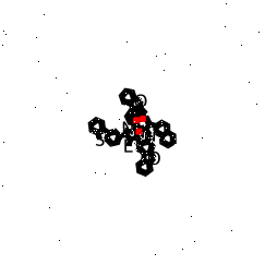 CCC1C(c2ccc3sc4ccccc4c3c2)=NC(c2ccc3oc4ccccc4c3c2)=NC1c1cc2c(cc1-n1c3cc4ccccc4cc3c3ccc4ccccc4c31)oc1ccccc12